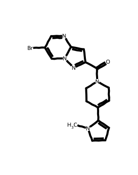 Cn1cccc1C1=CCN(C(=O)c2cc3ncc(Br)cn3n2)CC1